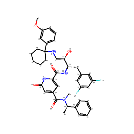 COc1cccc(C2(NC[C@@H](O)[C@H](Cc3cc(F)cc(F)c3)NC(=O)c3cc(C(=O)N(C)[C@H](C)c4ccccc4)cc(=O)[nH]3)CCCCC2)c1